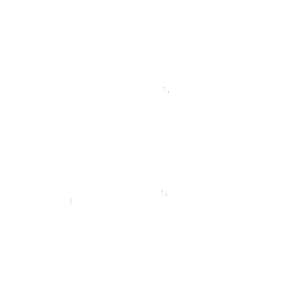 CC1(C)c2ccccc2-c2cc(-n3c4c(c5c3CCCC5)C=C(C3C=CC=CC3c3cccc5c3c3ccccc3n5C3=CCCC=C3)CC4)ccc21